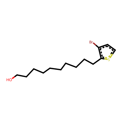 OCCCCCCCCCCc1sccc1Br